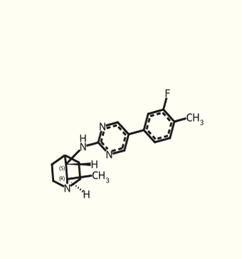 Cc1ccc(-c2cnc(N[C@H]3C4CCN(CC4)[C@@H]3C)nc2)cc1F